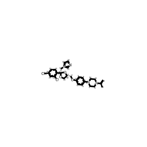 C=C(C)N1CCN(c2ccc(OC[C@@H]3CO[C@@](Cn4ccnc4)(c4ccc(Cl)cc4Cl)O3)cc2)CC1